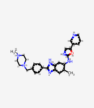 Cc1cc2nc(-c3ccc(CN4CCN(C)CC4)cc3)[nH]c2cc1Nc1ncc(-c2cccnc2)o1